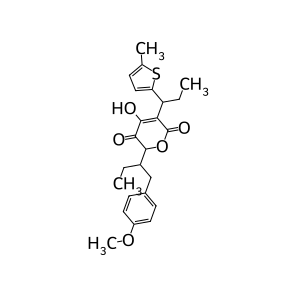 CCC(C1=C(O)C(=O)C(C(CC)Cc2ccc(OC)cc2)OC1=O)c1ccc(C)s1